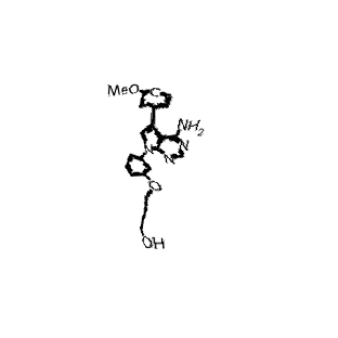 COc1cccc(-c2cn(-c3cccc(OCCCO)c3)c3ncnc(N)c23)c1